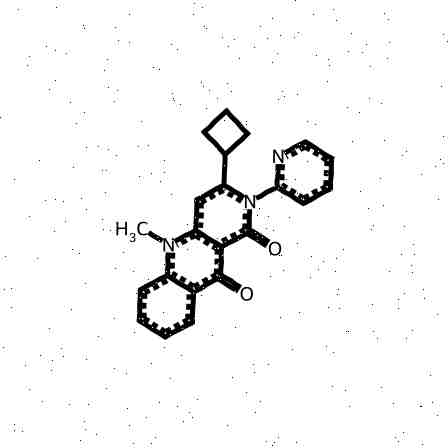 Cn1c2ccccc2c(=O)c2c(=O)n(-c3ccccn3)c(C3CCC3)cc21